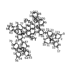 Cc1ccc([Si](c2ccc(C)cc2)(c2ccc(C)cc2)c2cccc(-c3cccc(N(c4cc(C(C)C)c5ccc6c(N(c7cccc(-c8cccc([Si](c9ccc(C)cc9)(c9ccc(C)cc9)c9ccc(C)cc9)c8)c7)c7cccc8c7oc7ccccc78)cc(C(C)C)c7ccc4c5c76)c4cccc5c4oc4ccccc45)c3)c2)cc1